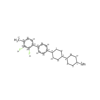 CCCC1CCC(C2CCC(c3ccc(-c4ccc(C)c(F)c4F)cc3)CC2)CC1